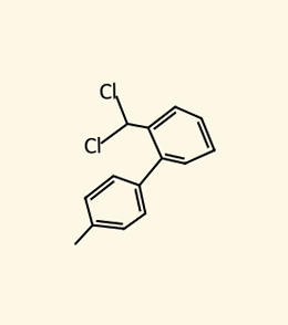 Cc1ccc(-c2ccccc2C(Cl)Cl)cc1